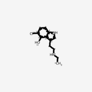 CCNCCc1c[nH]c2ccc(Cl)c(O)c12